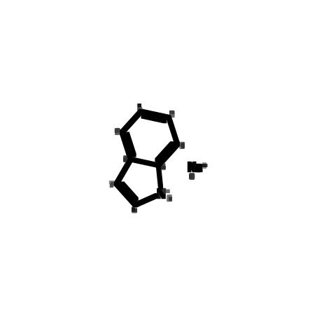 [Na+].c1ccc2[n-]ccc2c1